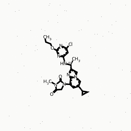 CCCOc1nc(Cl)cc(N[C@@H](C)c2cn3cc(C4CC4)cc(N4CC(=O)N(C)C4=O)c3n2)n1